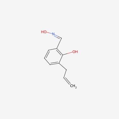 C=CCc1cccc(/C=N\O)c1O